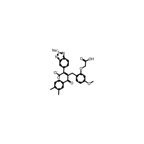 COc1ccc(CC(C(=O)c2ccc(C)c(C)c2)=C(C(=O)[O-])c2ccc3nsnc3c2)c(OCC(=O)O)c1.[Na+]